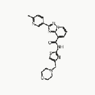 Cc1ccc(-c2nc3c(C(=O)Nc4nc(CN5CCOCC5)cs4)cccn3n2)cn1